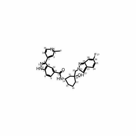 Cc1cc(-c2n[nH]c3ccc(C(=O)N[C@H]4CCC[C@@](O)(Cn5cc6ccc(F)cc6n5)C4)cc23)ccn1